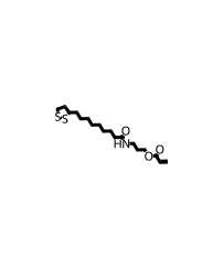 C=CC(=O)OCCCNC(=O)CCCCCCCCC1CCSS1